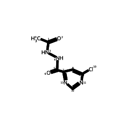 CC(=O)NNC(=O)c1cc(Cl)ncn1